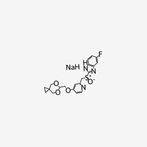 [NaH].[O-][S+](Cc1cc(OCC2OCC3(CC3)CO2)ccn1)c1nc2cc(F)ccc2[nH]1